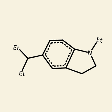 CCC(CC)c1ccc2c(c1)CCN2CC